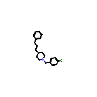 Clc1ccc(CN2CCC(CCCc3ccccc3)CC2)cc1